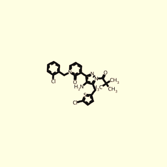 CC(C)(C)C(=O)n1nc(-c2cccn(Cc3ccccc3Cl)c2=O)c(N)c1Cc1ccc(Cl)s1